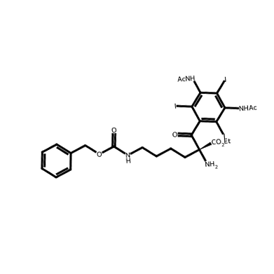 CCOC(=O)[C@@](N)(CCCCNC(=O)OCc1ccccc1)C(=O)c1c(I)c(NC(C)=O)c(I)c(NC(C)=O)c1I